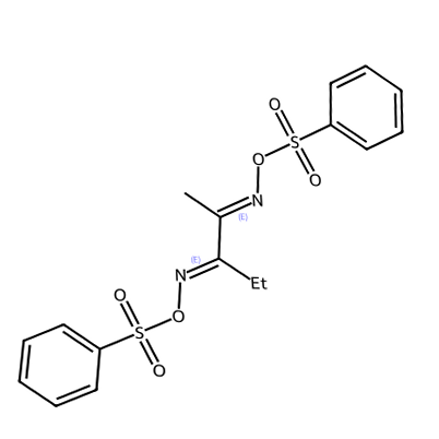 CCC(=N\OS(=O)(=O)c1ccccc1)/C(C)=N/OS(=O)(=O)c1ccccc1